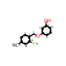 N#Cc1ccc(COc2cccc(O)c2)c(F)c1